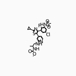 COC(=O)NC(C)CNc1cc(-c2sc(C3CC3)nc2-c2cc(Cl)cc(NS(C)(=O)=O)c2F)ccn1